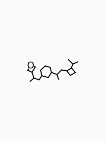 CC(C)C1CCC1CC(C)C1CCCC(CC(C)C2COC2)C1